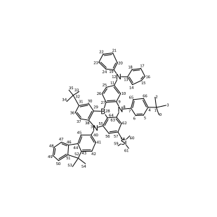 CC(C)(C)c1ccc(N2c3cc(N(c4ccccc4)c4ccccc4)ccc3B3c4cc(C(C)(C)C)ccc4N(c4ccc5c(c4)-c4ccccc4C5(C)C)c4cc([Si](C)(C)C)cc2c43)cc1